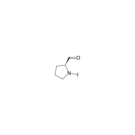 O=C[C@@H]1CCCN1I